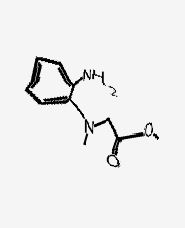 COC(=O)CN(C)c1ccccc1N